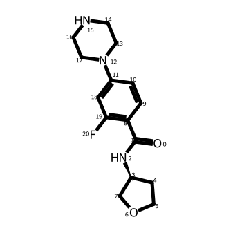 O=C(N[C@H]1CCOC1)c1ccc(N2CCNCC2)cc1F